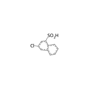 O=S(=O)(O)c1cc(Cl)cc2ccccc12